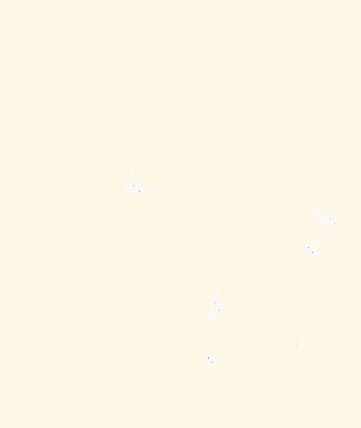 CN(C)/C=N/S(=O)(=O)c1cc(NC(=O)Cc2ccccc2Cl)ccc1-c1cnn(CC(C)(C)O)c1